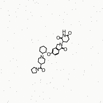 O=C1CCC(N2Cc3cc(O[C@H]4CCCC[C@H]4N4CCC(C(=O)N5CCCC5)CC4)ccc3C2=O)C(=O)N1